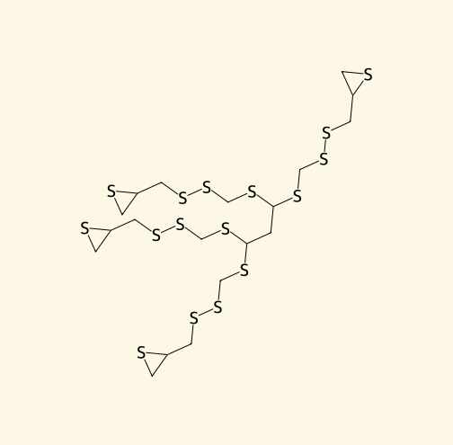 C(SSCC1CS1)SC(CC(SCSSCC1CS1)SCSSCC1CS1)SCSSCC1CS1